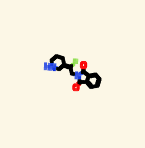 O=C1c2ccccc2C(=O)N1CC(F)=C1CCCNC1